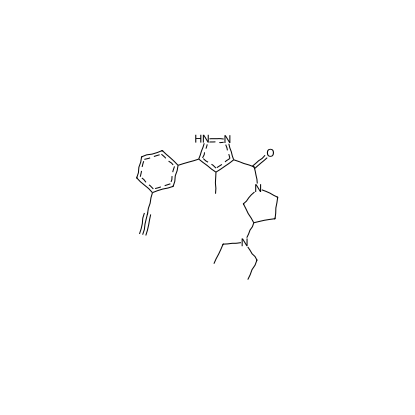 C#Cc1cccc(-c2[nH]nc(C(=O)N3CCC(N(CC)CC)C3)c2C)c1